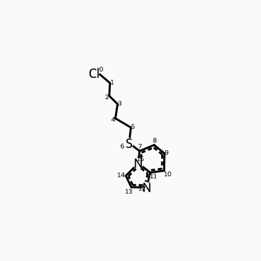 ClCCCCCSc1cccc2nccn12